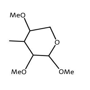 COC1COC(OC)C(OC)C1C